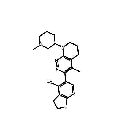 Cc1c(-c2ccc3c(c2O)CCO3)nnc2c1CCCN2[C@@H]1CCCN(C)C1